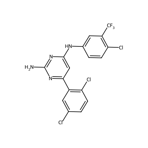 Nc1nc(Nc2ccc(Cl)c(C(F)(F)F)c2)cc(-c2cc(Cl)ccc2Cl)n1